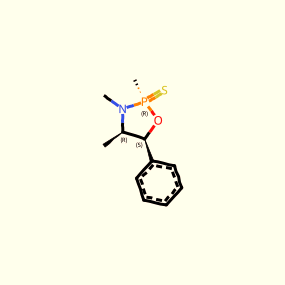 C[C@@H]1[C@H](c2ccccc2)O[P@](C)(=S)N1C